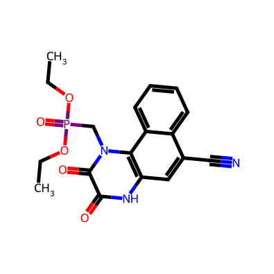 CCOP(=O)(Cn1c(=O)c(=O)[nH]c2cc(C#N)c3ccccc3c21)OCC